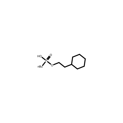 CCCCP(=O)(O)OCCC1CCCCC1